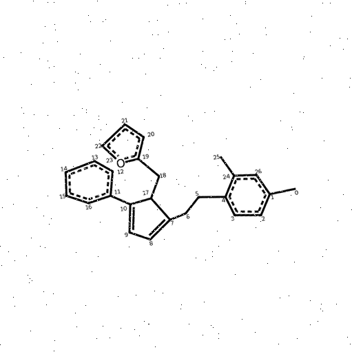 Cc1ccc(CCC2=CC=C(c3ccccc3)C2Cc2ccco2)c(C)c1